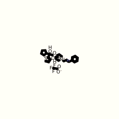 O=C(O[C@H]1C[N+]2(C/C=C/c3ccccc3)CCC1CC2)[C@@](O)(c1cccs1)C1CCCC1.O=C([O-])C(F)(F)F